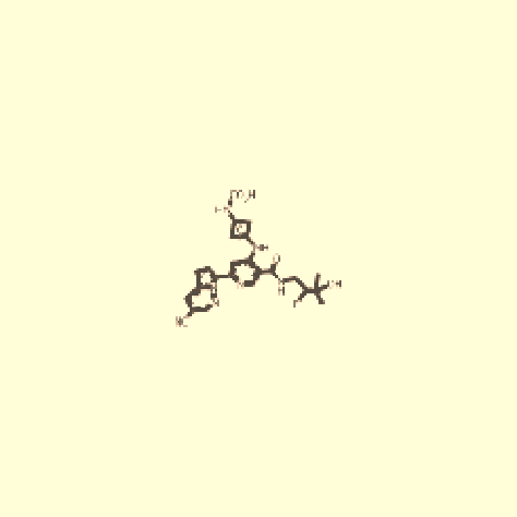 CC(C)(O)C(F)CNC(=O)c1cnc(-c2ccc3cc(C#N)cnn23)cc1NC12CC(NC(=O)O)(C1)C2